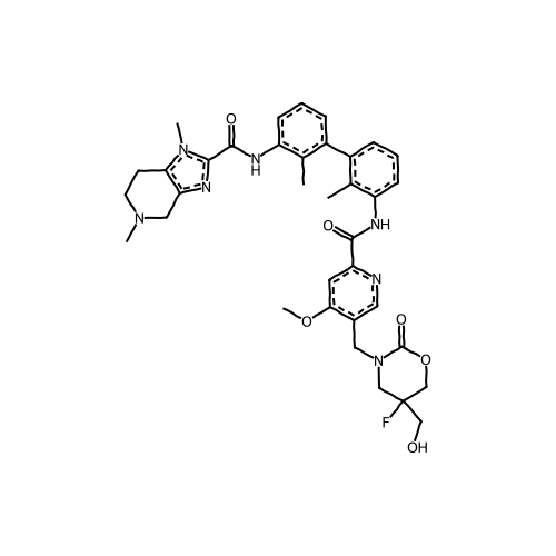 COc1cc(C(=O)Nc2cccc(-c3cccc(NC(=O)c4nc5c(n4C)CCN(C)C5)c3C)c2C)ncc1CN1CC(F)(CO)COC1=O